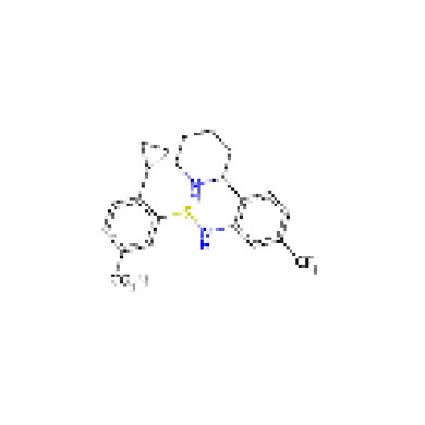 O=C(O)c1ccc(C2CC2)c(SNc2cc(C(F)(F)F)ccc2C2CCCCN2)c1